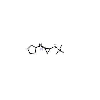 C[Si](C)(C)SC1C/C1=N\C1CCCC1